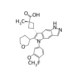 COc1cc(-n2c(C3CCCOC3)c([C@H]3C[C@@](C)(C(=O)O)C3)c3cc4[nH]ncc4cc32)ccc1F